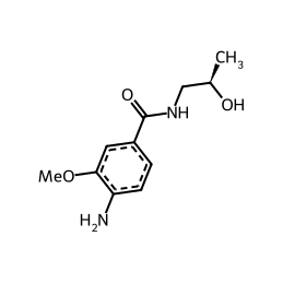 COc1cc(C(=O)NC[C@@H](C)O)ccc1N